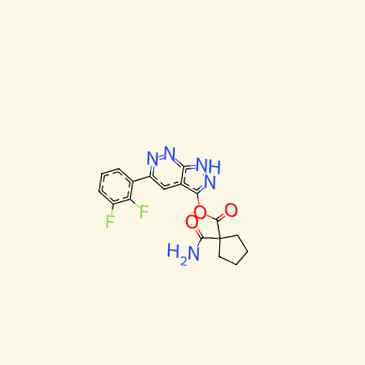 NC(=O)C1(C(=O)Oc2n[nH]c3nnc(-c4cccc(F)c4F)cc23)CCCC1